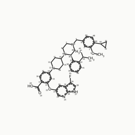 COc1cc(CN2CCN(C3CCN(c4ccc(C(=O)O)c(Oc5cnc6[nH]cc(F)c6c5)c4)CC3)[C@H](c3ccccc3C(C)C)C2)ccc1C1CC1